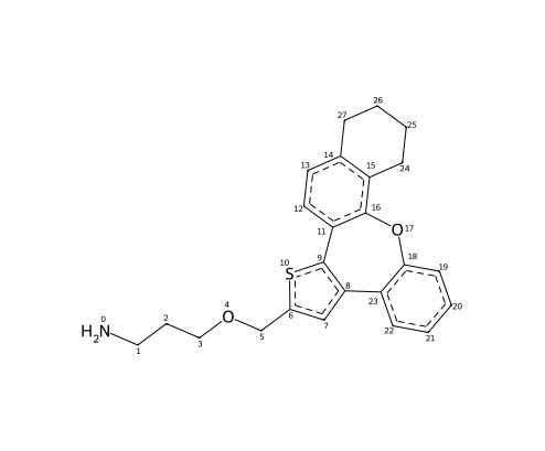 NCCCOCc1cc2c(s1)-c1ccc3c(c1Oc1ccccc1-2)CCCC3